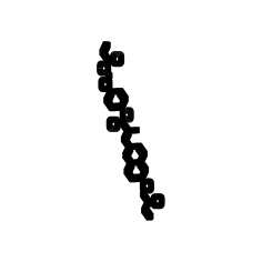 C=CC(=O)COc1ccc2cc(/C=C(\C)C(=O)Oc3ccc(OCOC(=O)C=C)cc3)ccc2c1